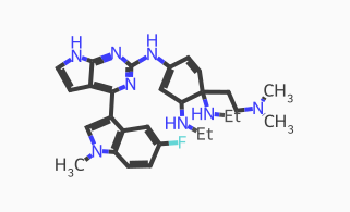 CCNC1C=C(Nc2nc(-c3cn(C)c4ccc(F)cc34)c3cc[nH]c3n2)C=CC1(CCN(C)C)NCC